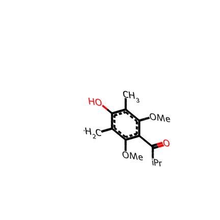 [CH2]c1c(O)c(C)c(OC)c(C(=O)C(C)C)c1OC